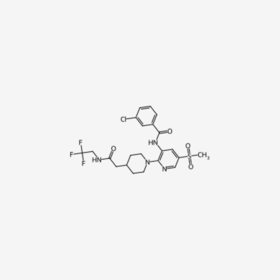 CS(=O)(=O)c1cnc(N2CCC(CC(=O)NCC(F)(F)F)CC2)c(NC(=O)c2cccc(Cl)c2)c1